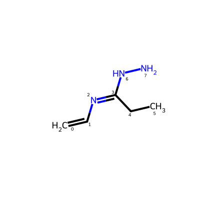 C=C/N=C(\CC)NN